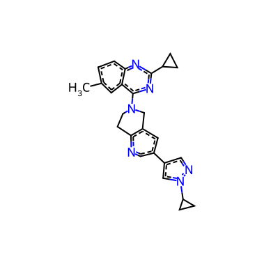 Cc1ccc2nc(C3CC3)nc(N3CCc4ncc(-c5cnn(C6CC6)c5)cc4C3)c2c1